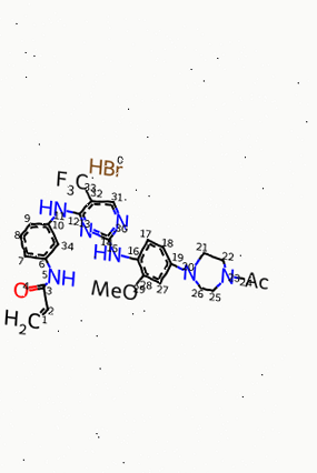 Br.C=CC(=O)Nc1cccc(Nc2nc(Nc3ccc(N4CCN(C(C)=O)CC4)cc3OC)ncc2C(F)(F)F)c1